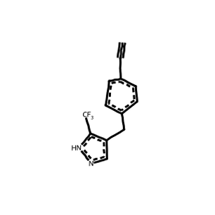 C#Cc1ccc(Cc2cn[nH]c2C(F)(F)F)cc1